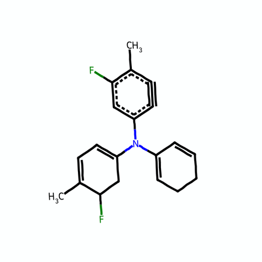 CC1=CC=C(N(C2=CCCC=C2)c2c#cc(C)c(F)c2)CC1F